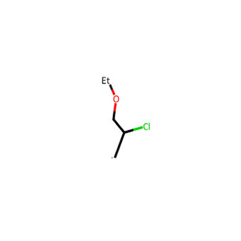 [CH2]C(Cl)COCC